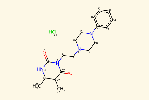 CC1NC(=O)N(CCN2CCN(c3ccccc3)CC2)C(=O)C1C.Cl